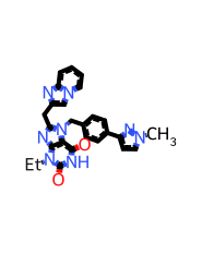 CCn1c(=O)[nH]c(=O)c2c1nc(Cc1cn3ccccc3n1)n2Cc1ccc(-c2ccn(C)n2)cc1